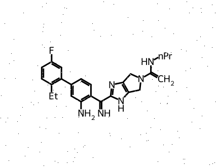 C=C(NCCC)N1Cc2nc(C(=N)c3ccc(-c4cc(F)ccc4CC)cc3N)[nH]c2C1